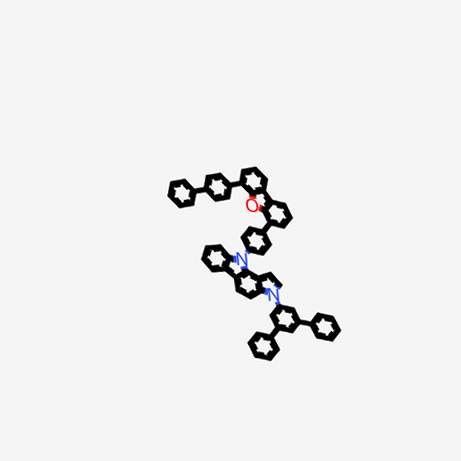 c1ccc(-c2ccc(-c3cccc4c3oc3c(-c5ccc(-n6c7ccccc7c7ccc8c(ccn8-c8cc(-c9ccccc9)cc(-c9ccccc9)c8)c76)cc5)cccc34)cc2)cc1